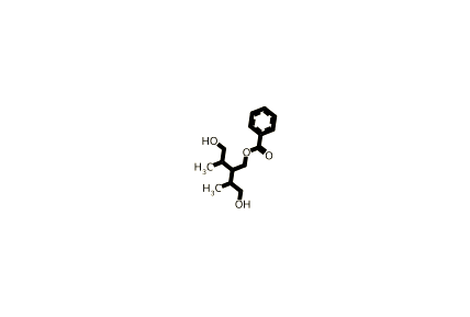 CC(CO)C(COC(=O)c1ccccc1)C(C)CO